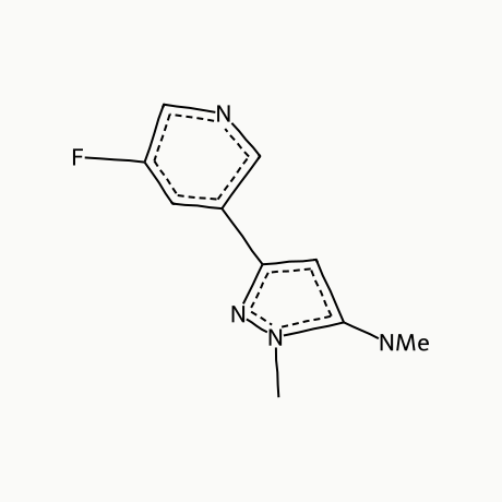 CNc1cc(-c2cncc(F)c2)nn1C